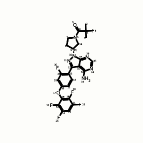 CC(C)(F)C(=O)N1CC[C@@H](n2nc(-c3ccc(Oc4c(F)c(F)cc(F)c4F)cc3F)c3c(N)ncnc32)C1